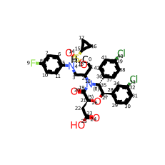 CCC(CN(c1ccc(F)cc1)S(=O)(=O)C1CC1)N1C(=O)[C@H](CC(=O)O)O[C@H](c2cccc(Cl)c2)[C@H]1c1ccc(Cl)cc1